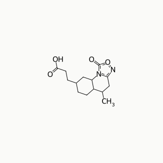 CC1Cc2noc(=O)n2C2CC(CCC(=O)O)CCC12